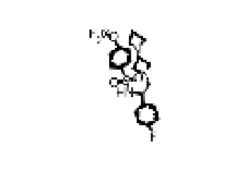 O=S(=O)(N[C@@H](CN1CC(N2CCC2)C1)c1ccc(F)cc1)c1ccc(OC(F)(F)F)cc1